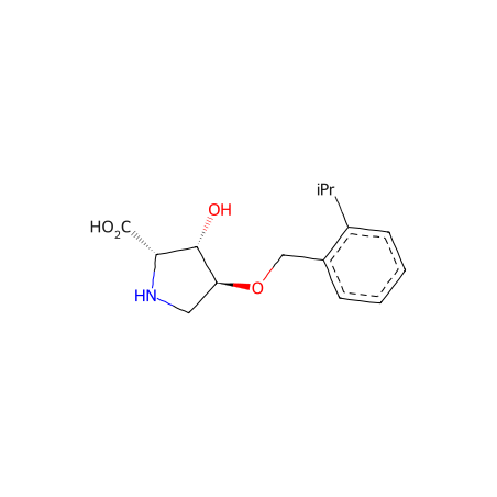 CC(C)c1ccccc1CO[C@H]1CN[C@H](C(=O)O)[C@@H]1O